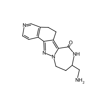 NCC1CCn2nc3c(c2C(=O)N1)CCc1cnccc1-3